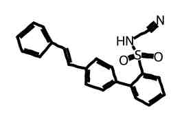 N#CNS(=O)(=O)c1ccccc1-c1ccc(C=Cc2ccccc2)cc1